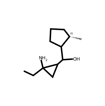 CCC1(N)CC1C(O)C1CCC[C@@H]1C